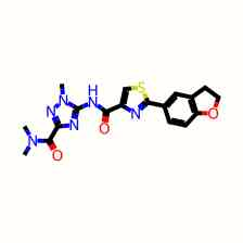 CN(C)C(=O)c1nc(NC(=O)c2csc(-c3ccc4c(c3)CCO4)n2)n(C)n1